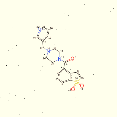 O=C(c1cccc2c1C=CS2(=O)=O)N1CCN(Cc2cccnc2)CC1